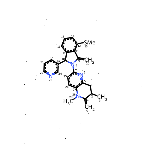 C=C1C(C)Cc2nc(N3C(=C)c4c(SC)cccc4C3c3cccnc3)ccc2N1C